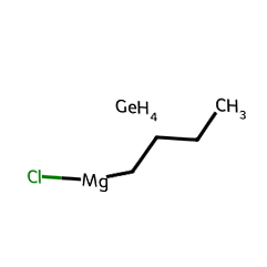 CCC[CH2][Mg][Cl].[GeH4]